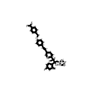 OC(Cn1nnnn1)(c1ccc(F)cc1F)C(F)(F)c1ccc(C#Cc2ccc(OCc3ccc(C(F)F)cc3)cc2)cn1